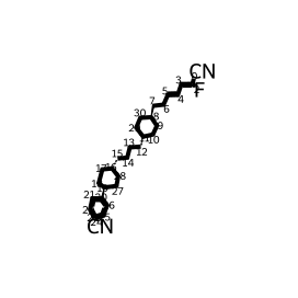 N#C/C(F)=C/C=C/CC[C@H]1CC[C@H](CCCC[C@H]2CC[C@H](c3ccc(C#N)cc3)CC2)CC1